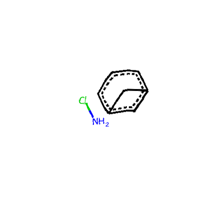 NCl.c1cc2cc(c1)C2